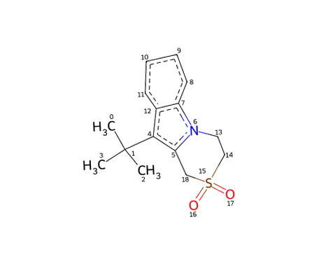 CC(C)(C)c1c2n(c3ccccc13)CCS(=O)(=O)C2